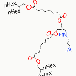 CCCCCCC(CCCCCC)COC(=O)CCCCCCC(=O)OCC(CNCCCN(C)C)COC(=O)CCCCCCC(=O)OCC(CCCCCC)CCCCCC